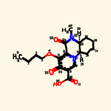 CCCCOc1c2n(cc(C(=O)O)c1=O)[C@@H]1CCCC[C@@H]1N(C)C2=O